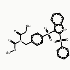 CC(C)(C)OC(=O)N(Cc1ccc(S(=O)(=O)c2c(S(=O)(=O)c3ccccc3)[nH]c3ccccc23)cc1)C(=O)OC(C)(C)C